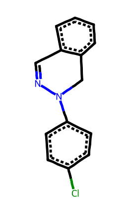 Clc1ccc(N2Cc3ccccc3C=N2)cc1